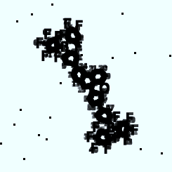 Fc1cc(F)c(B(c2ccc(-c3ccc4cc5c6c(cccc6c4c3)Oc3cc(-c4ccc(B(c6c(F)c(F)c(F)c(F)c6F)c6c(F)c(F)c(F)c(F)c6F)cc4)ccc3-5)cc2)c2c(F)c(F)c(F)c(F)c2F)c(F)c1F